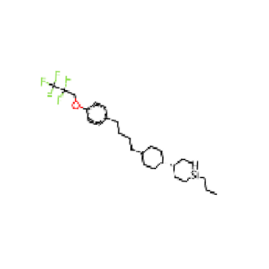 CCC[SiH]1CCC([C@H]2CC[C@H](CCCCc3ccc(OCC(F)(F)C(F)(F)F)cc3)CC2)CC1